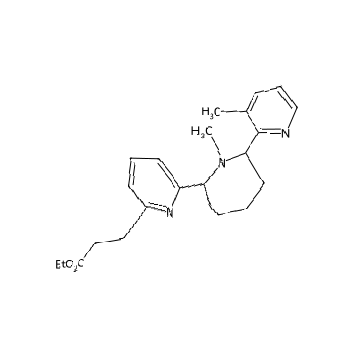 CCOC(=O)CCc1cccc(C2CCCC(c3ncccc3C)N2C)n1